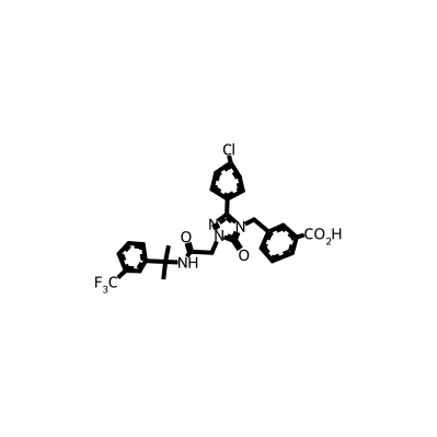 CC(C)(NC(=O)Cn1nc(-c2ccc(Cl)cc2)n(Cc2cccc(C(=O)O)c2)c1=O)c1cccc(C(F)(F)F)c1